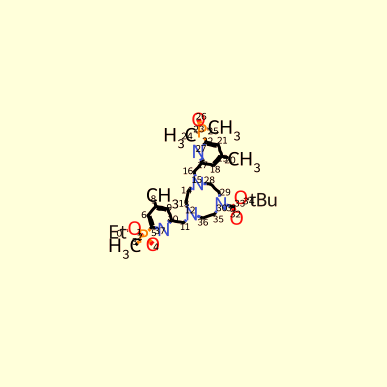 CCOP(C)(=O)c1cc(C)cc(CN2CCN(Cc3cc(C)cc(P(C)(C)=O)n3)CCN(C(=O)OC(C)(C)C)CC2)n1